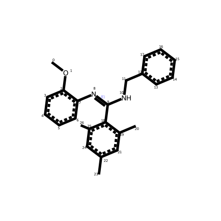 COc1ccccc1/N=C(/NCc1ccccc1)c1c(C)cc(C)cc1C